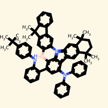 CC(C)(C)c1ccc(Nc2ccccc2-c2cc(N(c3ccccc3)c3ccccc3)c3c4cc5c(cc4n4c3c2Bc2cc3c(cc2-4)-c2ccccc2C3(C)C)C(C)(C)CCC5(C)C)cc1